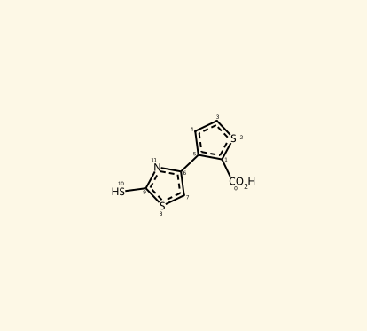 O=C(O)c1sccc1-c1csc(S)n1